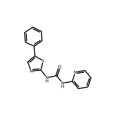 O=C(Nc1ccccn1)Nc1ncc(-c2ccccc2)s1